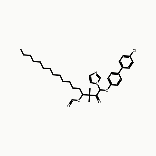 CCCCCCCCCCCCCC(OC=O)C(C)(C)C(=O)C(Oc1ccc(-c2ccc(Cl)cc2)cc1)n1ccnc1